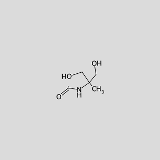 CC(CO)(CO)N[C]=O